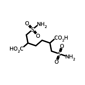 NS(=O)(=O)CC(CCC(CS(N)(=O)=O)C(=O)O)C(=O)O